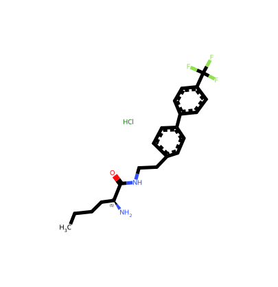 CCCC[C@H](N)C(=O)NCCc1ccc(-c2ccc(C(F)(F)F)cc2)cc1.Cl